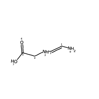 NC=CNCC(=O)O